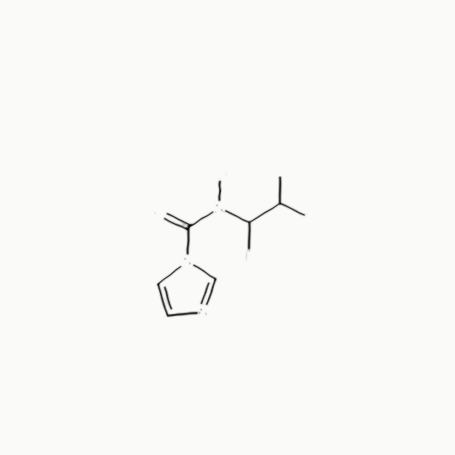 CCN(C(=O)n1ccnc1)C(F)C(F)F